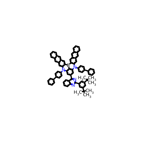 CC(C)(C)c1cc(-c2nc(-c3cc4c5c(c3)N(c3ccc(-c6ccccc6)cc3)c3cc6cc7ccccc7cc6cc3B5c3cc5cc6ccccc6cc5cc3N4c3ccc(-c4ccccc4)cc3)c3ccccc3n2)cc(C(C)(C)C)c1